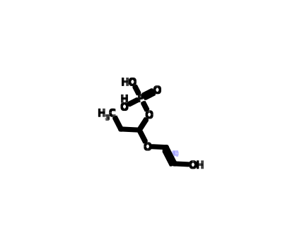 CCC(O/C=C/O)OP(=O)(O)O